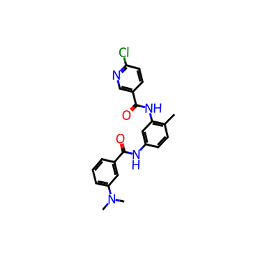 Cc1ccc(NC(=O)c2cccc(N(C)C)c2)cc1NC(=O)c1ccc(Cl)nc1